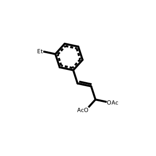 CCc1cccc(/C=C/C(OC(C)=O)OC(C)=O)c1